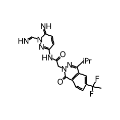 CC(C)c1nn(CC(=O)Nc2ccc(=N)n(C=N)n2)c(=O)c2ccc(C(C)(F)F)cc12